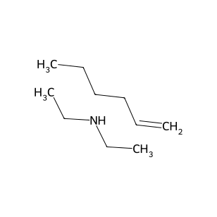 C=CCCCC.CCNCC